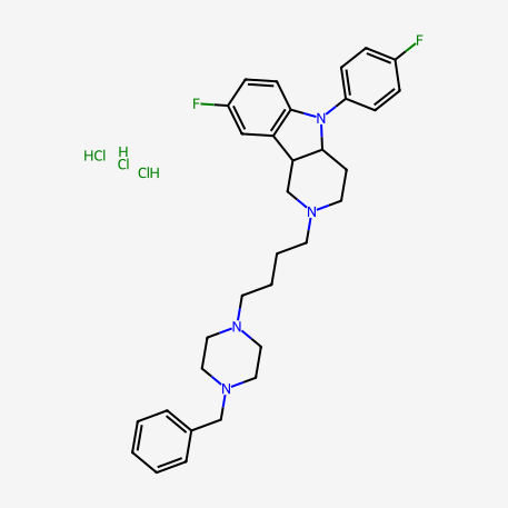 Cl.Cl.Cl.Fc1ccc(N2c3ccc(F)cc3C3CN(CCCCN4CCN(Cc5ccccc5)CC4)CCC32)cc1